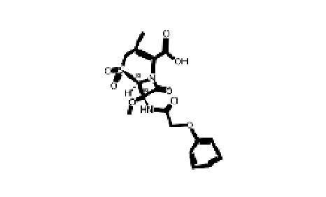 CO[C@@]1(NC(=O)COc2ccccc2)C(=O)N2C(C(=O)O)=C(C)CS(=O)(=O)[C@@H]21